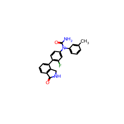 Cc1cccc(N(C(N)=O)c2ccc(-c3cccc4c3CNC4=O)c(F)c2)c1